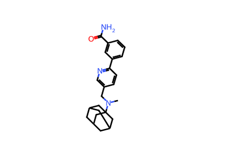 CN(Cc1ccc(-c2cccc(C(N)=O)c2)nc1)C12CC3CC(CC(C3)C1)C2